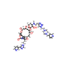 CO[C@]1(C)C[C@@H](C)C(=O)[C@@H]2C(CCCn3cnc(-c4cccnc4)c3)N3C(=O)O[C@](C)([C@@H](C)OC(=O)[C@H](C)C(=O)[C@H](C)[C@H]1O[C@@H]1O[C@H](C)C[C@H](N(C)CCc4cn(CCN5CCN(Cc6ccncc6)CC5)nn4)[C@H]1O)[C@@H]23